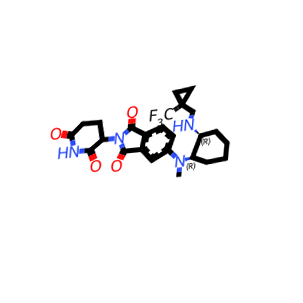 CN(c1ccc2c(c1)C(=O)N(C1CCC(=O)NC1=O)C2=O)[C@@H]1CCCC[C@H]1NCC1(C(F)(F)F)CC1